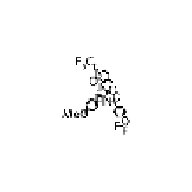 COc1ccc([C@@H]2CN(c3c(C)ccn(CCC(F)(F)F)c3=O)C(=O)C2NC(=O)c2ccc(OC(F)F)cc2)cc1